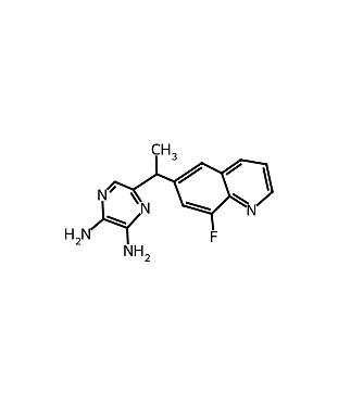 CC(c1cc(F)c2ncccc2c1)c1cnc(N)c(N)n1